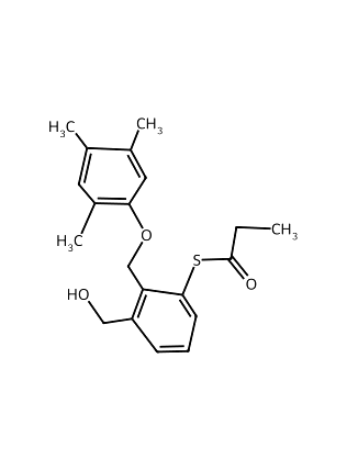 CCC(=O)Sc1cccc(CO)c1COc1cc(C)c(C)cc1C